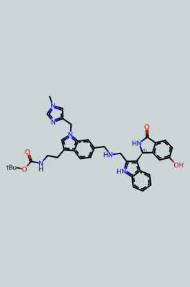 Cn1cnc(Cn2cc(CCNC(=O)OC(C)(C)C)c3ccc(CNCc4[nH]c5ccccc5c4[C@H]4NC(=O)c5ccc(O)cc54)cc32)c1